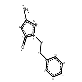 Nc1cc(=O)n(CCc2ccccc2)[nH]1